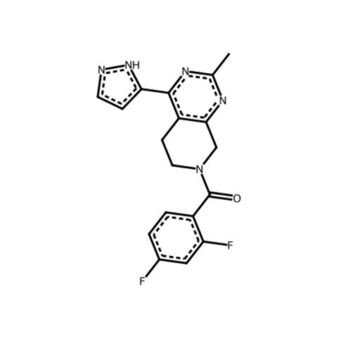 Cc1nc2c(c(-c3ccn[nH]3)n1)CCN(C(=O)c1ccc(F)cc1F)C2